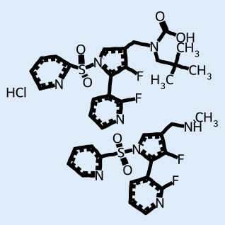 CC(C)(C)CN(Cc1cn(S(=O)(=O)c2ccccn2)c(-c2cccnc2F)c1F)C(=O)O.CNCc1cn(S(=O)(=O)c2ccccn2)c(-c2cccnc2F)c1F.Cl